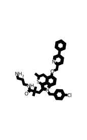 CC1Cc2c(OCc3ccc(-c4ccccc4)cn3)ccc3c2c(c(CC(C)(C)C(=O)NCCCN)n3Cc2ccc(Cl)cc2)S1